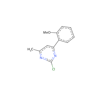 COc1ccccc1-c1cc(C)nc(Cl)n1